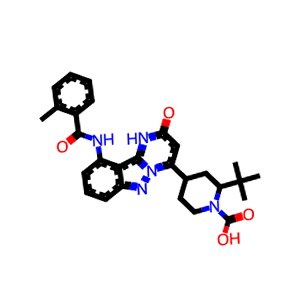 Cc1ccccc1C(=O)Nc1cccc2nn3c(C4CCN(C(=O)O)C(C(C)(C)C)C4)cc(=O)[nH]c3c12